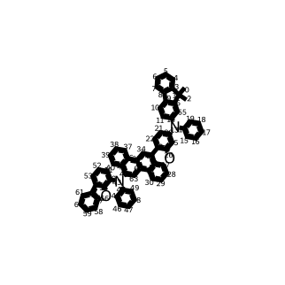 CC1(C)c2ccccc2-c2ccc(N(c3ccccc3)c3ccc4c(c3)Oc3cccc5c3c-4cc3c4ccccc4c(N(c4ccccc4)c4cccc6c4oc4ccccc46)cc53)cc21